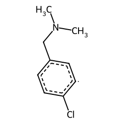 CN(C)Cc1c[c]c(Cl)cc1